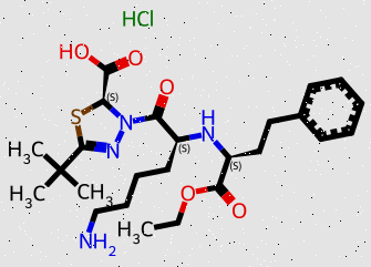 CCOC(=O)[C@H](CCc1ccccc1)N[C@@H](CCCCN)C(=O)N1N=C(C(C)(C)C)S[C@H]1C(=O)O.Cl